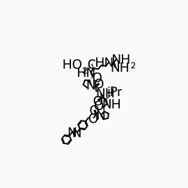 CC(C)C[C@@H](NC(=O)[C@H]1CCCN1C(=O)OCc1ccc(N=Nc2ccccc2)cc1)C(=O)NCC(=O)N1CCC[C@@H]1C(=O)N[C@H](CCCNC(=N)N)C(=O)O